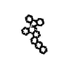 O=c1c2ccccc2c2ccccc2n1-c1ccccc1-c1cccc2c1ccc1cc3ccccc3cc12